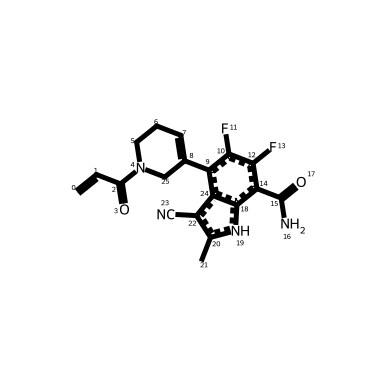 C=CC(=O)N1CCC=C(c2c(F)c(F)c(C(N)=O)c3[nH]c(C)c(C#N)c23)C1